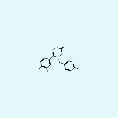 O=C1CN(Cc2ccc(Cl)nc2)C(c2ccc(F)c(Br)c2)=NN1